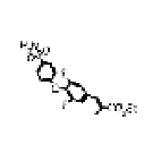 CCOC(=O)/C(C)=C/c1cc(F)c(Oc2ccc(S(N)(=O)=O)cc2)c(F)c1